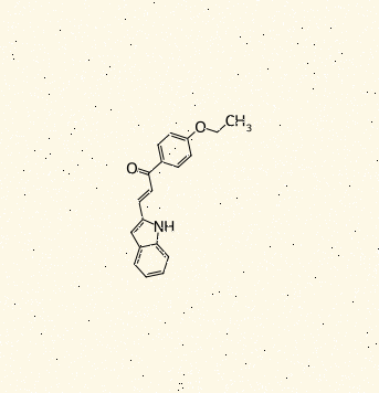 CCOc1ccc(C(=O)C=Cc2cc3ccccc3[nH]2)cc1